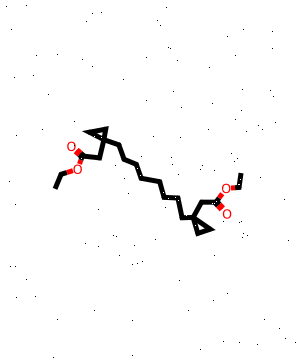 CCOC(=O)CC1(CCCCCCCCC2(CC(=O)OCC)CC2)CC1